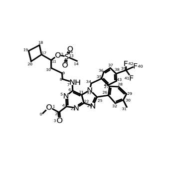 COC(=O)c1nc(NCCCC(OS(C)(=O)=O)C2CCC2)c2c(n1)nc(-c1cccc(C)c1)n2Cc1ccc(C(F)(F)F)cc1